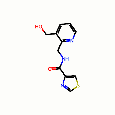 O=C(NCc1ncccc1CO)c1cscn1